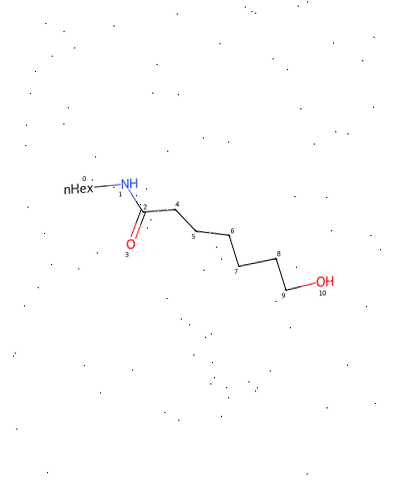 CCCCCCNC(=O)CCCCCCO